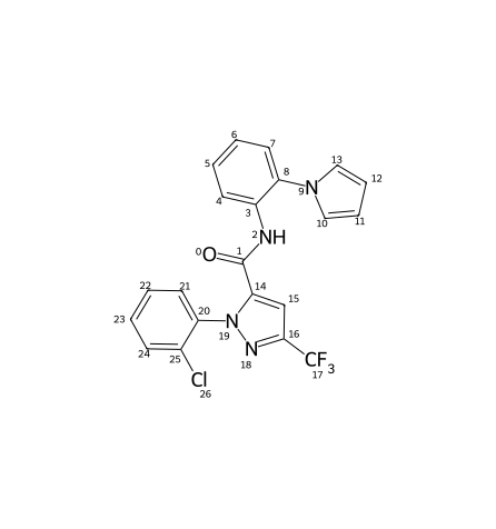 O=C(Nc1ccccc1-n1cccc1)c1cc(C(F)(F)F)nn1-c1ccccc1Cl